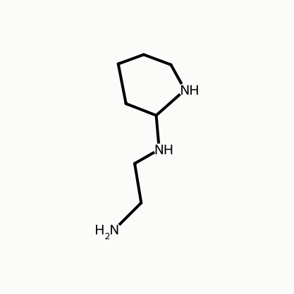 NCCNC1CCCCN1